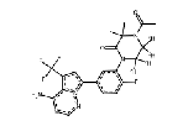 [2H]C1([2H])N(c2cc(-c3cc(C(F)(F)F)c4c(N)ncnn34)ccc2F)C(=O)C(C)(C)N(C(C)=O)C1([2H])[2H]